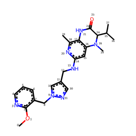 COc1ncccc1Cn1cc(CNc2cc3c(c(C)n2)NC(=O)C(C(C)C)N3C)cn1